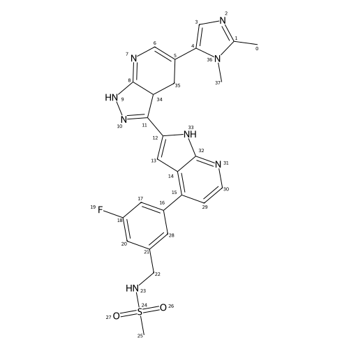 Cc1ncc(C2=CN=C3NN=C(c4cc5c(-c6cc(F)cc(CNS(C)(=O)=O)c6)ccnc5[nH]4)C3C2)n1C